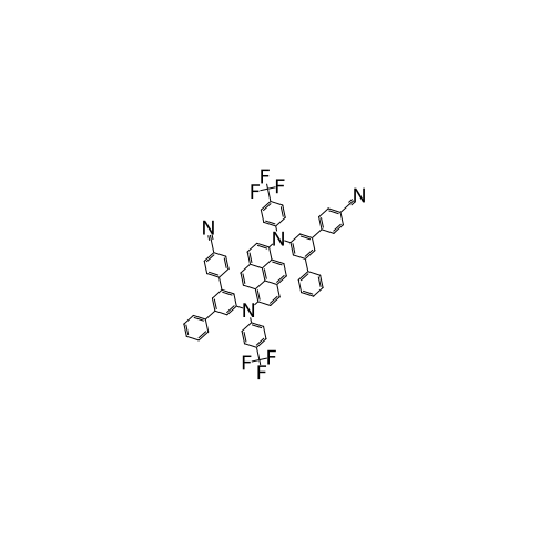 N#Cc1ccc(-c2cc(-c3ccccc3)cc(N(c3ccc(C(F)(F)F)cc3)c3ccc4ccc5c(N(c6ccc(C(F)(F)F)cc6)c6cc(-c7ccccc7)cc(-c7ccc(C#N)cc7)c6)ccc6ccc3c4c65)c2)cc1